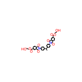 CC(c1ccc(N2C(=O)c3ccc(C(=O)OCCO)cc3C2=O)cc1)c1ccc(N2C(=O)c3ccc(C(=O)OCCO)cc3C2=O)cc1